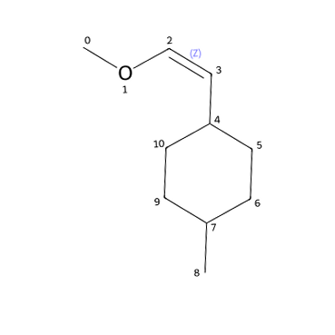 CO/C=C\C1CCC(C)CC1